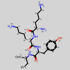 CC(C)C[C@@H]([C]=O)NC(=O)[C@H](Cc1ccc(O)cc1)NC(=O)[C@H](CCCCN)NC(=O)[C@@H](N)CCCCN